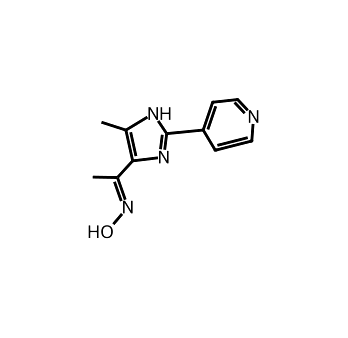 CC(=NO)c1nc(-c2ccncc2)[nH]c1C